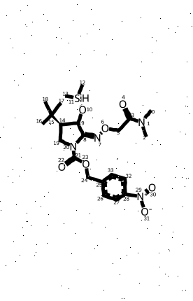 CN(C)C(=O)CO/N=C1\C(O[SiH](C)C)[C@H](C(C)(C)C)CN1C(=O)OCc1ccc([N+](=O)[O-])cc1